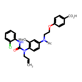 C=CCN(C(=O)Nc1ccccc1Cl)c1ccc(N(CCOc2ccc(C(=O)O)cc2)C(C)=O)cc1OC